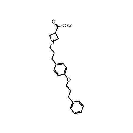 CC(=O)OC(=O)C1CN(CCCc2ccc(OCCCc3ccccc3)cc2)C1